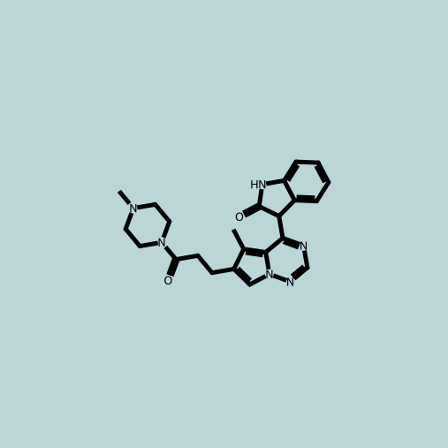 Cc1c(CCC(=O)N2CCN(C)CC2)cn2ncnc(C3C(=O)Nc4ccccc43)c12